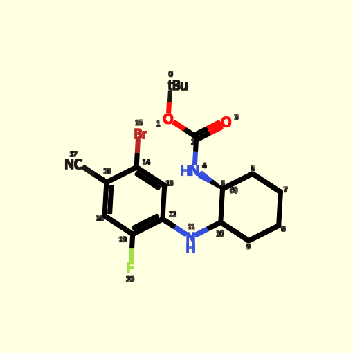 CC(C)(C)OC(=O)N[C@H]1CCCCC1Nc1cc(Br)c(C#N)cc1F